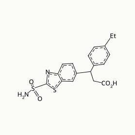 CCc1ccc(C(CC(=O)O)c2ccc3nc(S(N)(=O)=O)sc3c2)cc1